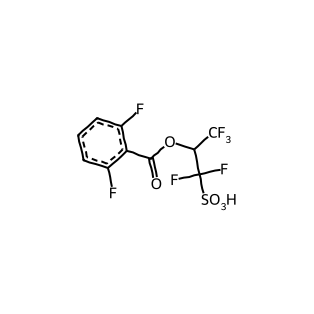 O=C(OC(C(F)(F)F)C(F)(F)S(=O)(=O)O)c1c(F)cccc1F